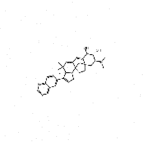 CN(C)[C@H]1C[C@@]23CC[C@@]4(O2)C(=CC(C)(C)[C@]2(C)C(c5ccc6ncncc6c5)=CCC42)C=C3[C@@H](O)[C@@H]1O